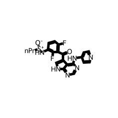 CCC[S+]([O-])Nc1ccc(F)c(C(=O)c2c[nH]c3ncnc(Nc4ccncc4)c23)c1F